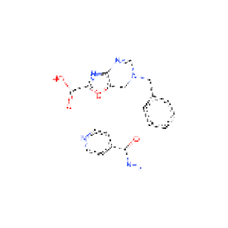 NC(=O)c1ccncc1.O=C(O)c1nc2c(o1)CN(Cc1ccccc1)C=N2